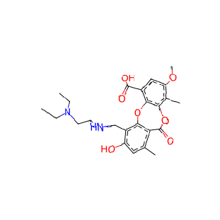 CCN(CC)CCNCc1c(O)cc(C)c2c1Oc1c(C(=O)O)cc(OC)c(C)c1OC2=O